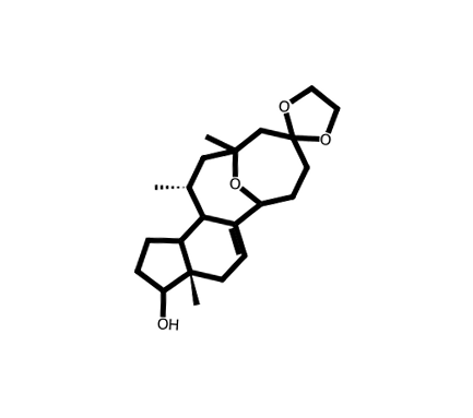 C[C@@H]1CC2(C)CC3(CCC(O2)C2=CC[C@]4(C)C(O)CCC4C21)OCCO3